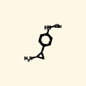 CC(C)(C)Nc1ccc(C2C[C@H]2N)cc1